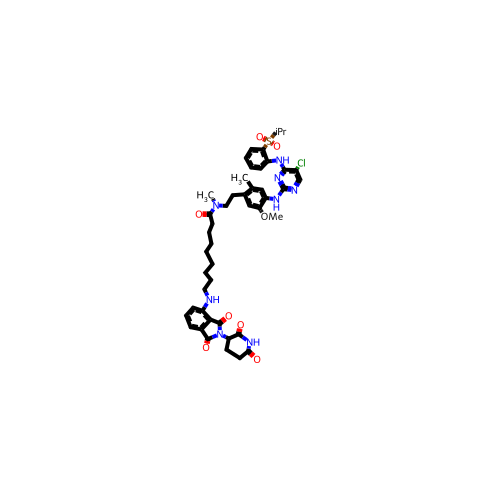 COc1cc(CCN(C)C(=O)CCCCCCCCNc2cccc3c2C(=O)N(C2CCC(=O)NC2=O)C3=O)c(C)cc1Nc1ncc(Cl)c(Nc2ccccc2S(=O)(=O)C(C)C)n1